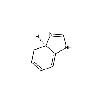 C1=CC[C@H]2N=CNC2=C1